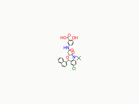 CC(C)(C)CN1C(=O)C(CC(=O)Nc2ccc(O)c(C(=O)O)c2)OC(c2cccc3ccccc23)c2cc(Cl)ccc21